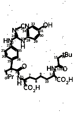 CC(C)CC(C(=O)NC(CCCCC(NC(=O)CC(C)(C)C)C(=O)O)C(=O)O)c1ccc(NC(=NC#N)Nc2ccc(O)cc2)cc1